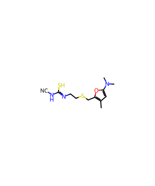 Cc1cc(N(C)C)oc1CSCCN=C(S)NC#N